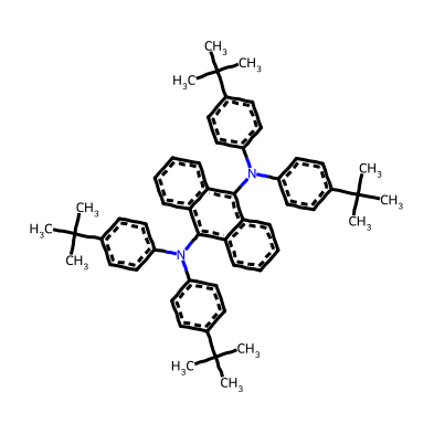 CC(C)(C)c1ccc(N(c2ccc(C(C)(C)C)cc2)c2c3ccccc3c(N(c3ccc(C(C)(C)C)cc3)c3ccc(C(C)(C)C)cc3)c3ccccc23)cc1